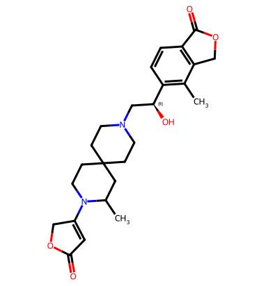 Cc1c([C@@H](O)CN2CCC3(CC2)CCN(C2=CC(=O)OC2)C(C)C3)ccc2c1COC2=O